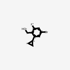 OCc1c(F)cc(Br)cc1C1CC1